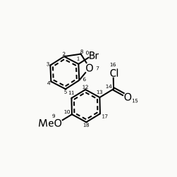 Brc1c2cccc1OC2.COc1ccc(C(=O)Cl)cc1